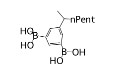 CCCCCC(C)c1cc(B(O)O)cc(B(O)O)c1